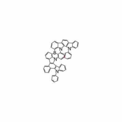 c1ccc(-n2c3ccccc3c3c2c2ccccc2c2c4cccc5c4n(c23)-c2cccc3c2B5c2cccc4c5ccc6c7ccccc7n(-c7ccccc7)c6c5n-3c24)cc1